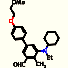 CCN(c1cc(-c2ccc(OCCOC)cc2)cc(C=O)c1C)C1CCCCC1